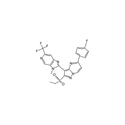 CCS(=O)(=O)c1nn2ccc(-c3ccc(F)cc3)nc2c1-c1nc2cc(C(F)(F)F)ncc2n1C